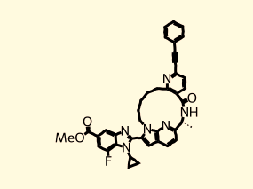 COC(=O)c1cc(F)c2c(c1)nc(-c1cc3ccc4nc3n1CCCCCc1nc(C#Cc3ccccc3)ccc1C(=O)N[C@@H]4C)n2C1CC1